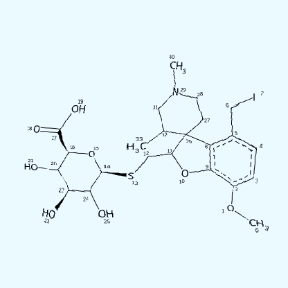 COc1ccc(CI)c2c1OC(CS[C@@H]1O[C@H](C(=O)O)C(O)[C@H](O)C1O)C21CCN(C)CC1C